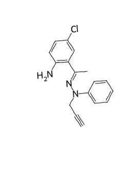 C#CCN(/N=C(\C)c1cc(Cl)ccc1N)c1ccccc1